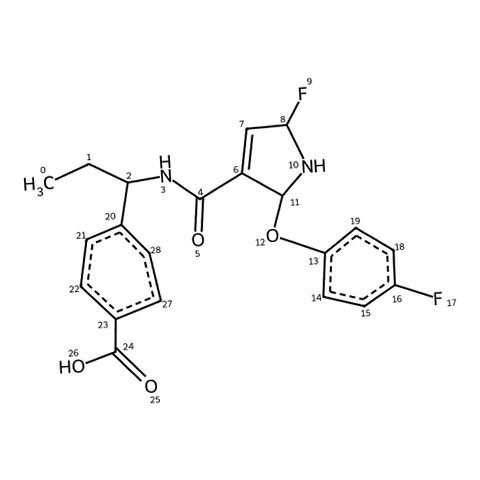 CCC(NC(=O)C1=CC(F)NC1Oc1ccc(F)cc1)c1ccc(C(=O)O)cc1